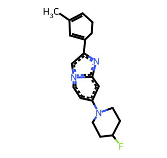 CC1=CCCC(c2cn3ccc(N4CCC(F)CC4)cc3n2)=C1